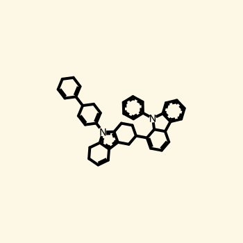 C1=CC2c3ccccc3N(c3ccccc3)C2C(C2CCc3c(c4c(n3C3=CCC(C5=CCCC=C5)C=C3)CCC=C4)C2)=C1